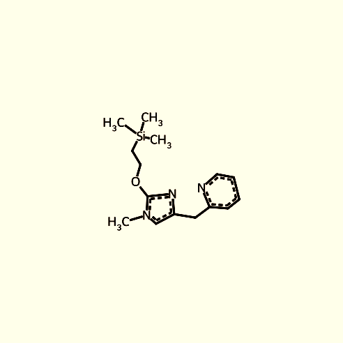 Cn1cc(Cc2ccccn2)nc1OCC[Si](C)(C)C